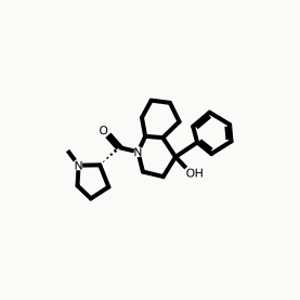 CN1CCC[C@H]1C(=O)N1CCC(O)(c2ccccc2)C2CCCCC21